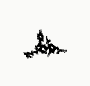 CN(Cc1cc(F)c(-c2cc3c(-c4ccc(Cl)cn4)nn(COCC[Si](C)(C)C)c3cn2)c(OC(F)F)c1)C(=O)O